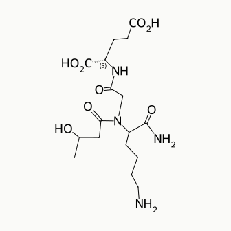 CC(O)CC(=O)N(CC(=O)N[C@@H](CCC(=O)O)C(=O)O)C(CCCCN)C(N)=O